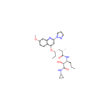 CCC[C@H](NC(=O)[C@@H](C)C[C@H](CC)Oc1cc(-n2cccn2)nc2cc(OC)ccc12)[C@H](O)C(=O)NC1CC1